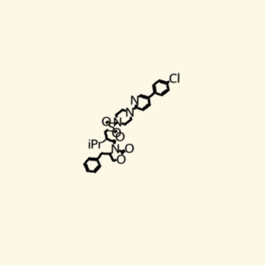 CC(C)[C@@H](CS(=O)(=O)N1CCN(c2ccc(-c3ccc(Cl)cc3)cn2)CC1)C(=O)N1C(=O)OCC1Cc1ccccc1